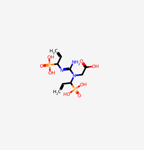 C=CC(N=C(N)N(CC(=O)O)C(C=C)P(=O)(O)O)P(=O)(O)O